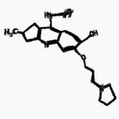 CC1Cc2nc3cc(OCCCN4CCCC4)c(O)cc3c(NC(C)C)c2C1